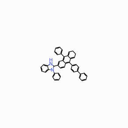 C1=c2c(-c3ccc(-c4ccccc4)cc3)c3ccc(C4Nc5ccccc5N4c4ccccc4)cc3c(-c3ccccc3)c2=CCC1